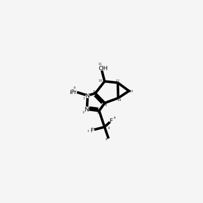 CC(C)n1nc(C(C)(F)F)c2c1C(O)C1CC21